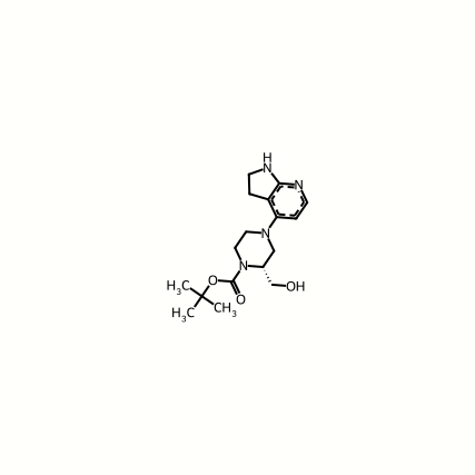 CC(C)(C)OC(=O)N1CCN(c2ccnc3c2CCN3)C[C@@H]1CO